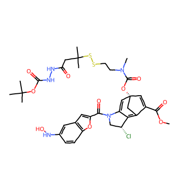 COC(=O)C1=C[C@]2(OC(=O)N(C)CCSSC(C)(C)CC(=O)NNC(=O)OC(C)(C)C)C=C3C(=C1C2)[C@H](Cl)CN3C(=O)c1cc2cc(NO)ccc2o1